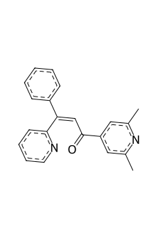 Cc1cc(C(=O)C=C(c2ccccc2)c2ccccn2)cc(C)n1